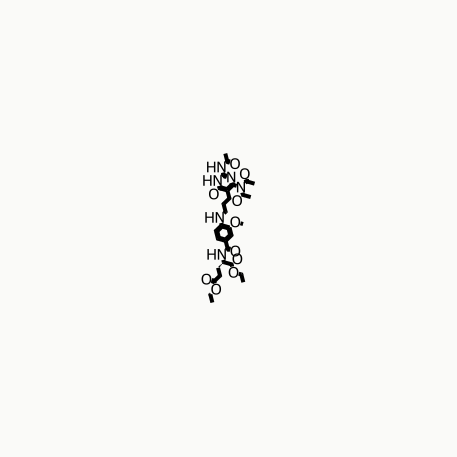 CCOC(=O)CC[C@H](NC(=O)c1ccc(NCCCc2c(N(C(C)=O)C(C)=O)nc(NC(C)=O)[nH]c2=O)c(OC)c1)C(=O)OCC